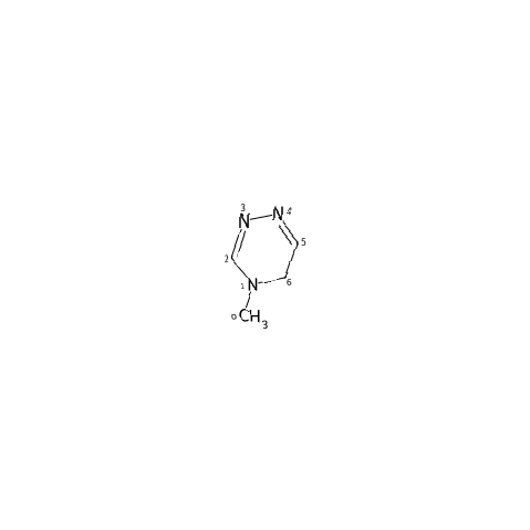 CN1C=NN=CC1